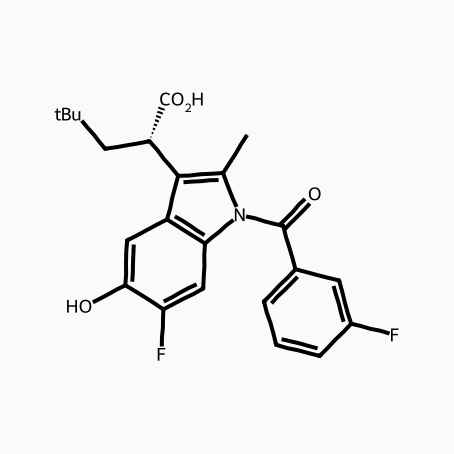 Cc1c([C@H](CC(C)(C)C)C(=O)O)c2cc(O)c(F)cc2n1C(=O)c1cccc(F)c1